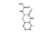 O=C(O)NC1Cc2ccncc2NC1=O